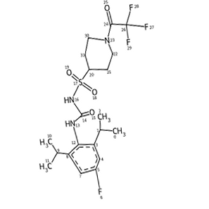 CC(C)c1cc(F)cc(C(C)C)c1NC(=O)NS(=O)(=O)C1CCN(C(=O)C(F)(F)F)CC1